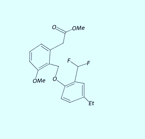 CCc1ccc(OCc2c(CC(=O)OC)cccc2OC)c(C(F)F)c1